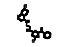 Clc1ccc2c(NCCNc3nc(Cl)nc(Nc4ccccc4)n3)ccnc2c1